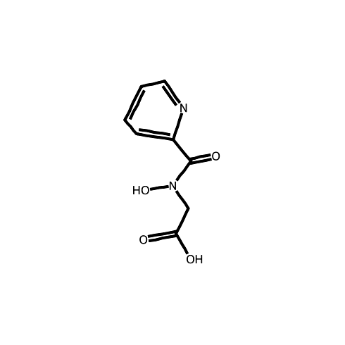 O=C(O)CN(O)C(=O)c1ccccn1